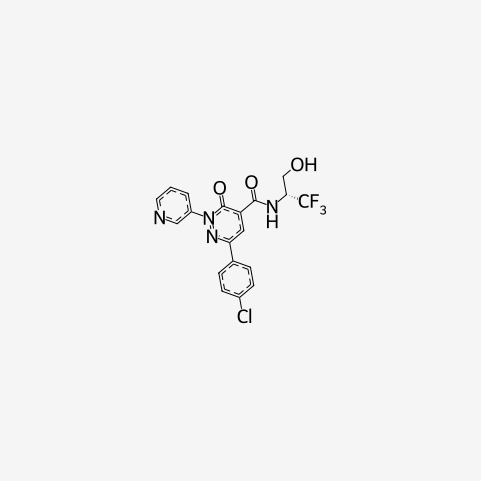 O=C(N[C@H](CO)C(F)(F)F)c1cc(-c2ccc(Cl)cc2)nn(-c2cccnc2)c1=O